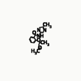 COC[C@H](C)Oc1ccccc1C(=O)Nc1cnc(C)cn1